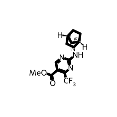 COC(=O)c1cnc(N[C@@H]2C[C@@H]3CC[C@@H]2C3)nc1C(F)(F)F